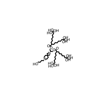 O=C(OCC(COC(=O)C(CCCCCCC(O)(O)O)CCCCCCC(O)(O)O)N1CC2(CCN(CCCCO)CC2)C1)C(CCCCCCC(O)(O)O)CCCCCCC(O)(O)O